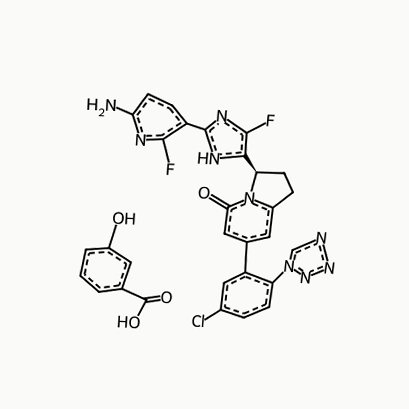 Nc1ccc(-c2nc(F)c([C@H]3CCc4cc(-c5cc(Cl)ccc5-n5cnnn5)cc(=O)n43)[nH]2)c(F)n1.O=C(O)c1cccc(O)c1